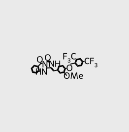 COc1cc(/C=C2\NC(=O)N(C(=O)c3ccccc3)C2=N)ccc1OCc1ccc(C(F)(F)F)cc1C(F)(F)F